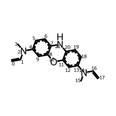 C=CN(C)c1ccc2c(c1)Oc1cc(N(C)C=C)ccc1N2